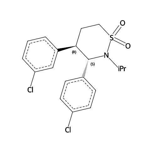 CC(C)N1[C@H](c2ccc(Cl)cc2)[C@@H](c2cccc(Cl)c2)CCS1(=O)=O